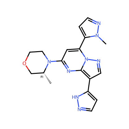 C[C@@H]1COCCN1c1cc(-c2ccnn2C)n2ncc(-c3ccn[nH]3)c2n1